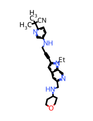 CCn1c(C#CCNc2ccc(C(C)(C)C#N)nc2)cc2cc(CNC3CCOCC3)ncc21